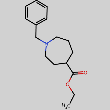 CCOC(=O)C1CCCN(Cc2ccccc2)CC1